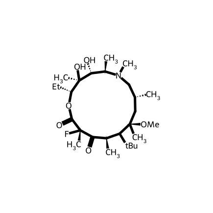 CC[C@H]1OC(=O)[C@@](C)(F)C(=O)[C@H](C)C(C(C)(C)C)[C@](C)(OC)C[C@@H](C)CN(C)[C@H](C)[C@@H](O)[C@]1(C)O